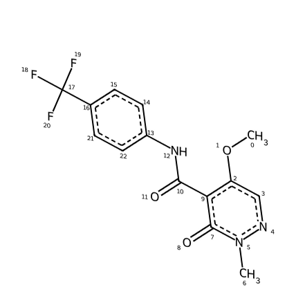 COc1cnn(C)c(=O)c1C(=O)Nc1ccc(C(F)(F)F)cc1